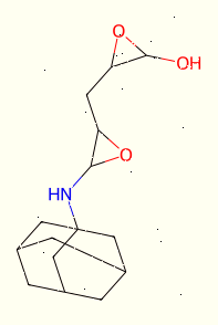 OC1OC1CC1OC1NC12CC3CC(CC(C3)C1)C2